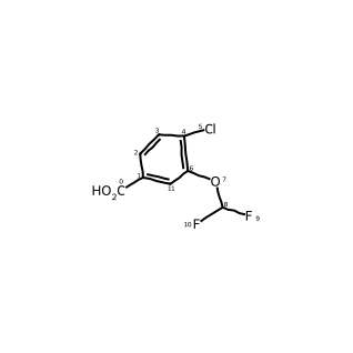 O=C(O)c1ccc(Cl)c(OC(F)F)c1